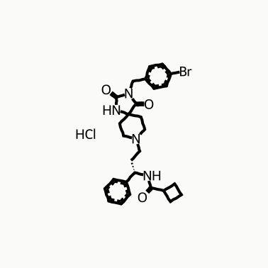 Cl.O=C(N[C@@H](CCN1CCC2(CC1)NC(=O)N(Cc1ccc(Br)cc1)C2=O)c1ccccc1)C1CCC1